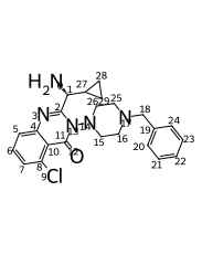 N[C@H](c1nc2cccc(Cl)c2c(=O)n1N1CCN(Cc2ccccc2)CC1)C1CC1